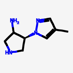 Cc1cnn([C@H]2CNCC2N)c1